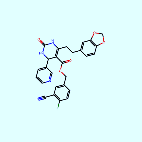 N#Cc1cc(COC(=O)C2=C(CCc3ccc4c(c3)OCO4)NC(=O)NC2c2cccnc2)ccc1F